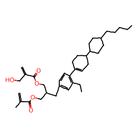 C=C(C)C(=O)OCC(COC(=O)C(=C)CO)Cc1ccc(C2=CCC(C3CCC(CCCCC)CC3)CC2)c(CC)c1